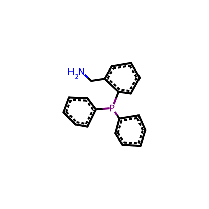 NCc1ccccc1P(c1ccccc1)c1ccccc1